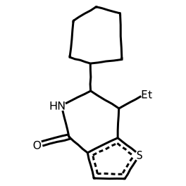 CCC1c2sccc2C(=O)NC1C1CCCCC1